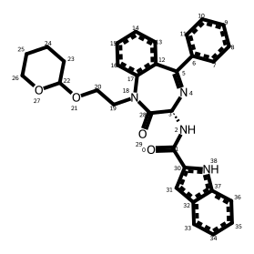 O=C(N[C@H]1N=C(c2ccccc2)c2ccccc2N(CCOC2CCCCO2)C1=O)c1cc2ccccc2[nH]1